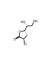 CC[C@@H]1C[C@@H]([C@H](O)CO)OC1=O